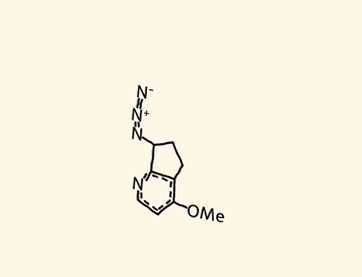 COc1ccnc2c1CCC2N=[N+]=[N-]